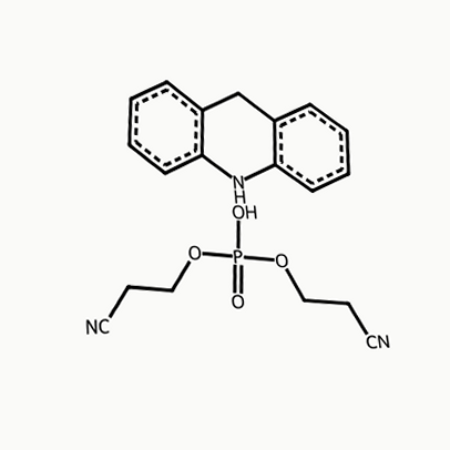 N#CCCOP(=O)(O)OCCC#N.c1ccc2c(c1)Cc1ccccc1N2